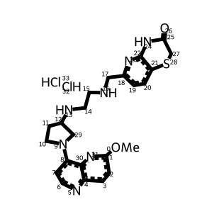 COc1ccc2nccc(N3CCC(NCCNCc4ccc5c(n4)NC(=O)CS5)C3)c2n1.Cl.Cl